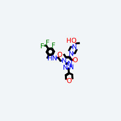 Cc1cc(C(F)F)c(F)cc1NC(=O)Cn1c(C)c(N2CCN(C(C)O)CC2)c(=O)n2nc(C3=CCOCC3)nc12